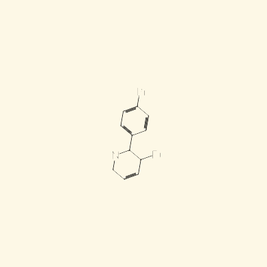 CCC1C=CCNC1c1ccc(Br)cc1